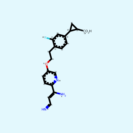 N=C/C=C(\N)c1ccc(OCCc2ccc(C3CC3C(=O)O)cc2F)cn1